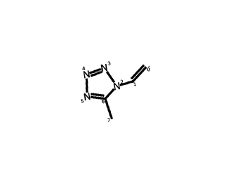 [CH]=Cn1nnnc1C